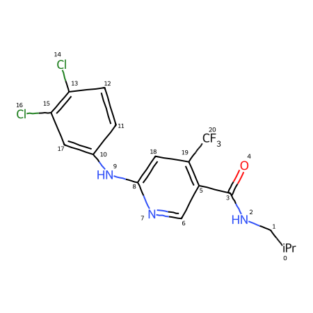 CC(C)CNC(=O)c1cnc(Nc2ccc(Cl)c(Cl)c2)cc1C(F)(F)F